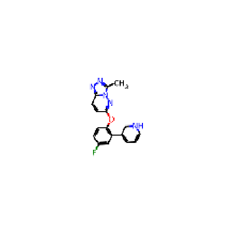 Cc1nnc2ccc(Oc3ccc(F)cc3C3=CC=CNC3)nn12